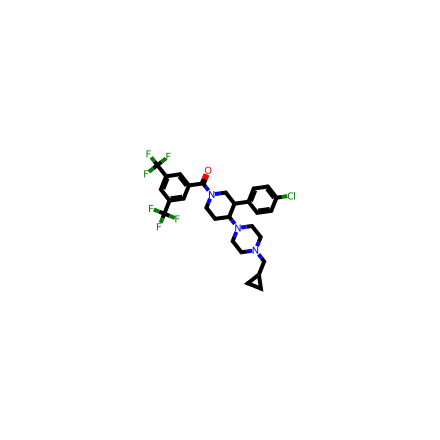 O=C(c1cc(C(F)(F)F)cc(C(F)(F)F)c1)N1CCC(N2CCN(CC3CC3)CC2)C(c2ccc(Cl)cc2)C1